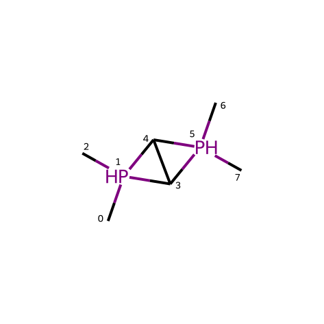 C[PH]1(C)C2C1[PH]2(C)C